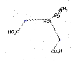 CN1CCC(C(=O)OCCCCC(O)(CCCCCCCCCCCCCC/C=C\CCCCCCCC(=O)O)CCCCCCCCCCCCCC/C=C\CCCCCCCC(=O)O)CC1